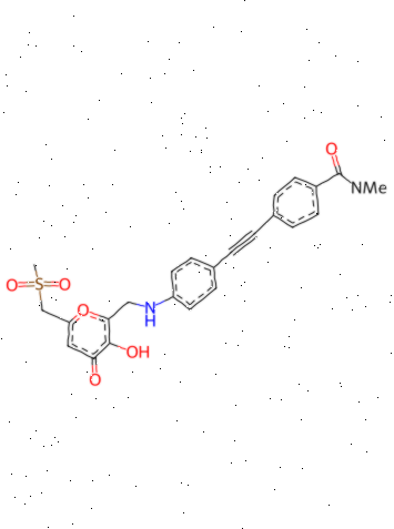 CNC(=O)c1ccc(C#Cc2ccc(NCc3oc(CS(C)(=O)=O)cc(=O)c3O)cc2)cc1